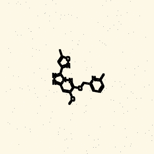 COc1cc2nnc(-c3cc(C)on3)n2nc1OCc1cccc(C)n1